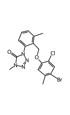 Cc1cc(OCc2c(C)cccc2-n2nnn(C)c2=O)c(Cl)cc1Br